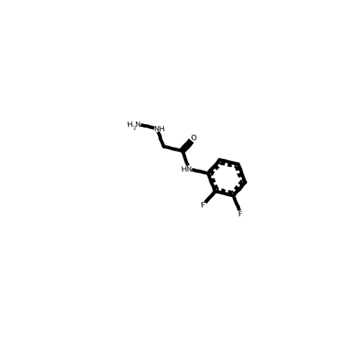 NNCC(=O)Nc1cccc(F)c1F